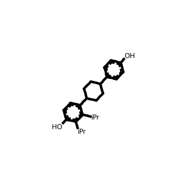 CC(C)c1c(O)ccc(C2CCC(c3ccc(O)cc3)CC2)c1C(C)C